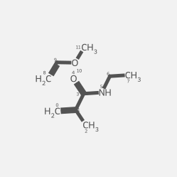 C=C(C)C(=O)NCC.C=COC